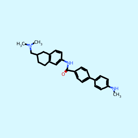 CNc1ccc(-c2ccc(C(=O)Nc3ccc4c(c3)CCC(CN(C)C)C4)cc2)cc1